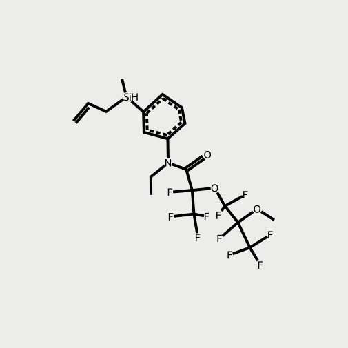 C=CC[SiH](C)c1cccc(N(CC)C(=O)C(F)(OC(F)(F)C(F)(OC)C(F)(F)F)C(F)(F)F)c1